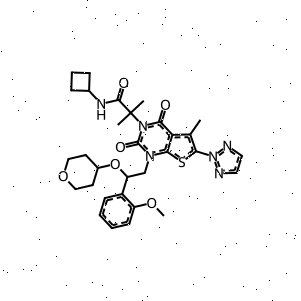 COc1ccccc1C(Cn1c(=O)n(C(C)(C)C(=O)NC2CCC2)c(=O)c2c(C)c(-n3nccn3)sc21)OC1CCOCC1